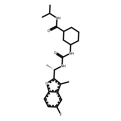 Cc1c([C@H](C)NC(=O)NC2CCCC(C(=O)NC(C)C)C2)oc2ccc(F)cc12